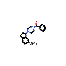 COc1ccc2c(c1)C(N1CCN(C(=O)c3ccccc3)CC1)CC2